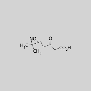 CC(C)(CCC(=O)CC(=O)O)[N+](=O)[O-]